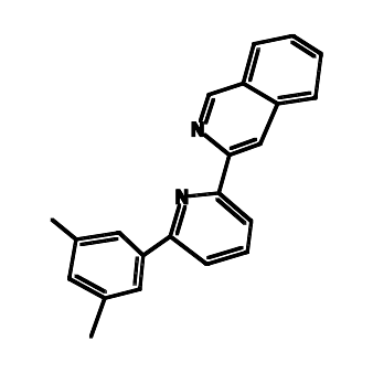 Cc1cc(C)cc(-c2cccc(-c3cc4ccccc4cn3)n2)c1